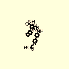 NC(=O)c1cn(-c2ccc3c(c2)CCC3)c2nc(Nc3ccc(C4CCN(CCC(=O)O)CC4)cc3)ncc2c1=O